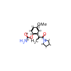 C=C(C(=O)N1CCCC1)c1cc(OC)ccc1OC(N)=O